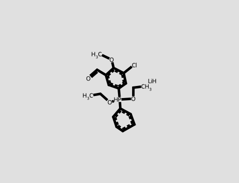 CCO[PH](OCC)(c1ccccc1)c1cc(Cl)c(OC)c(C=O)c1.[LiH]